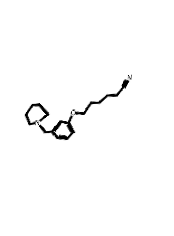 N#CCCCCCOc1cccc(CN2CCCCC2)c1